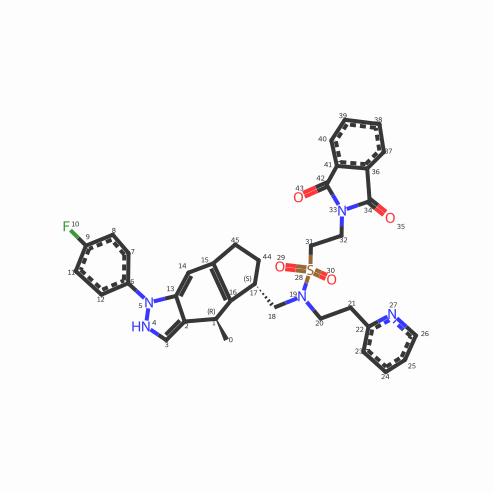 C[C@H]1C2=CNN(c3ccc(F)cc3)C2=CC2=C1[C@@H](CN(CCc1ccccn1)S(=O)(=O)CCN1C(=O)c3ccccc3C1=O)CC2